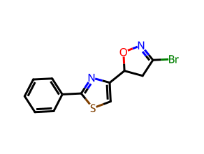 BrC1=NOC(c2csc(-c3ccccc3)n2)C1